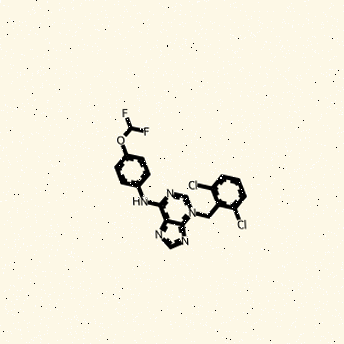 FC(F)Oc1ccc(Nc2ncn(Cc3c(Cl)cccc3Cl)c3ncnc2-3)cc1